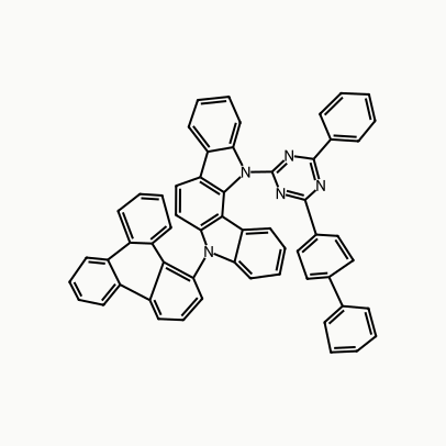 c1ccc(-c2ccc(-c3nc(-c4ccccc4)nc(-n4c5ccccc5c5ccc6c(c7ccccc7n6-c6cccc7c8ccccc8c8ccccc8c67)c54)n3)cc2)cc1